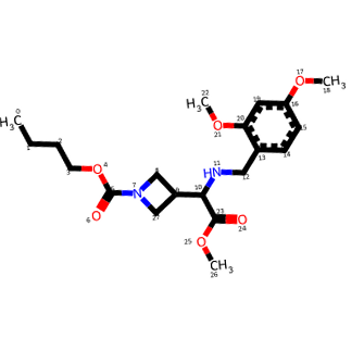 CCCCOC(=O)N1CC(C(NCc2ccc(OC)cc2OC)C(=O)OC)C1